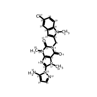 Cn1c(Cn2c(=O)c3c(nc(-n4nccc4N)n3C)n(C)c2=O)cc2cc(Cl)ccc21